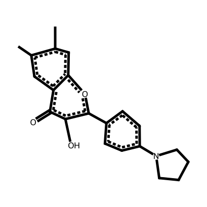 Cc1cc2oc(-c3ccc(N4CCCC4)cc3)c(O)c(=O)c2cc1C